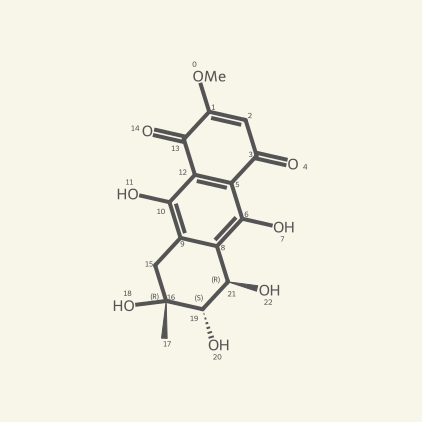 COC1=CC(=O)c2c(O)c3c(c(O)c2C1=O)C[C@@](C)(O)[C@@H](O)[C@@H]3O